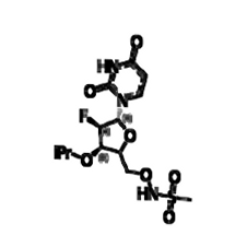 CC(C)O[C@@H]1C(CONS(C)(=O)=O)O[C@@H](n2ccc(=O)[nH]c2=O)[C@@H]1F